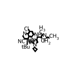 C=C(/C(C)=N\C(F)=C/C)[C@H](Nc1cc(Cl)c2ncc(C#N)c(NCC(C)(C)C)c2c1)C1=CN(C2CCC2)NN1